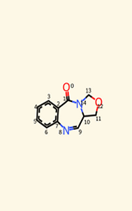 O=C1c2ccccc2N=CC2COCN12